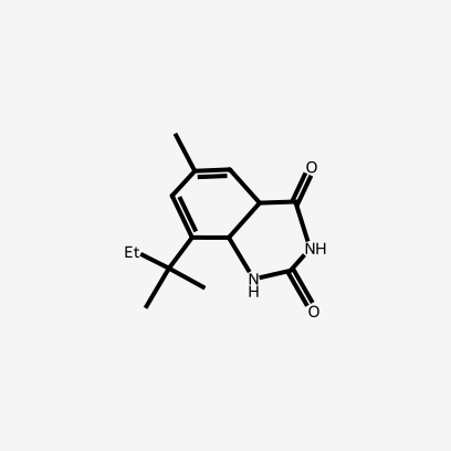 CCC(C)(C)C1=CC(C)=CC2C(=O)NC(=O)NC12